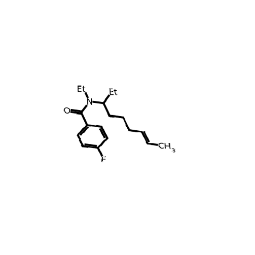 CC=CCCCC(CC)N(CC)C(=O)c1ccc(F)cc1